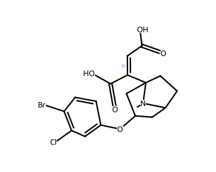 CN1C2CCC1(/C(=C\C(=O)O)C(=O)O)CC(Oc1ccc(Br)c(Cl)c1)C2